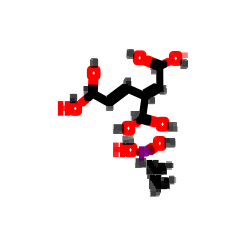 O=C(O)C=C/C(=C\C(=O)[O-])C(=O)[O-].O=PO.[Na+].[Na+]